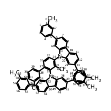 Cc1cccc(-c2ccc3c4ccc(-c5cccc(C)c5)cc4n(-c4ccc(-c5cccc(C#N)c5)c(-n5c6cc(-c7cccc(C)c7)ccc6c6ccc(-c7cccc(C)c7)cc65)c4C(F)(F)F)c3c2)c1